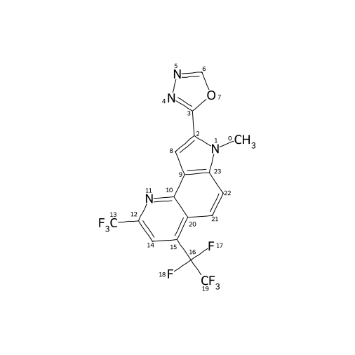 Cn1c(-c2nnco2)cc2c3nc(C(F)(F)F)cc(C(F)(F)C(F)(F)F)c3ccc21